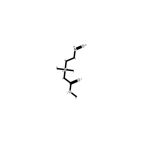 COC(=O)C[N+](C)(C)CCN=O